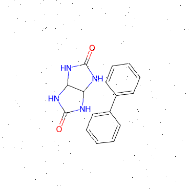 O=C1NC2NC(=O)NC2N1.c1ccc(-c2ccccc2)cc1